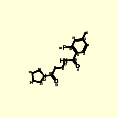 Cc1ccc(C(=O)NCCC(=O)N2CCCC2)c(F)c1